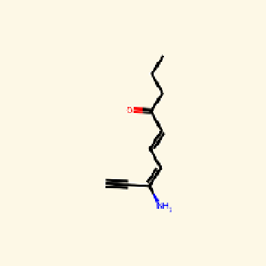 C#C/C(N)=C\C=C\C(=O)CCC